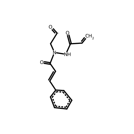 C=CC(=O)NN(C[C]=O)C(=O)C=Cc1ccccc1